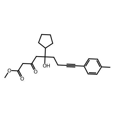 COC(=O)CC(=O)CC(O)(CCC#Cc1ccc(C)cc1)C1CCCC1